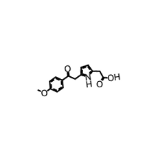 COc1ccc(C(=O)Cc2ccc(CC(=O)O)[nH]2)cc1